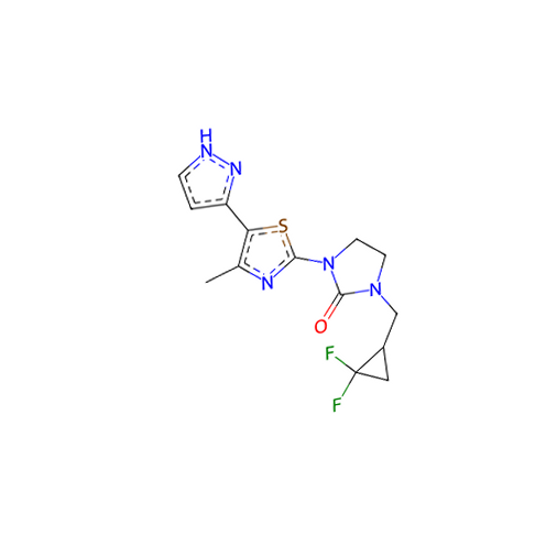 Cc1nc(N2CCN(CC3CC3(F)F)C2=O)sc1-c1cc[nH]n1